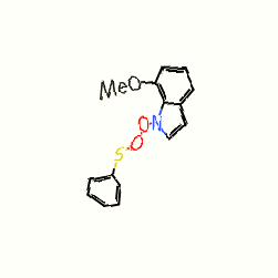 COc1cccc2ccn(OOSc3ccccc3)c12